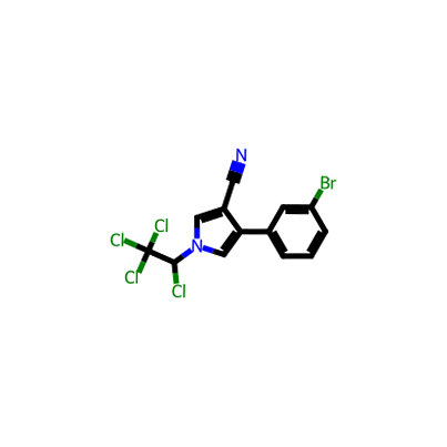 N#Cc1cn(C(Cl)C(Cl)(Cl)Cl)cc1-c1cccc(Br)c1